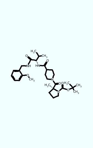 COc1ccccc1CNC(=O)[C@@H](NC(=O)C1CCN(C(=O)[C@]2(C)CCCN2C(=O)OC(C)(C)C)CC1)C(C)C